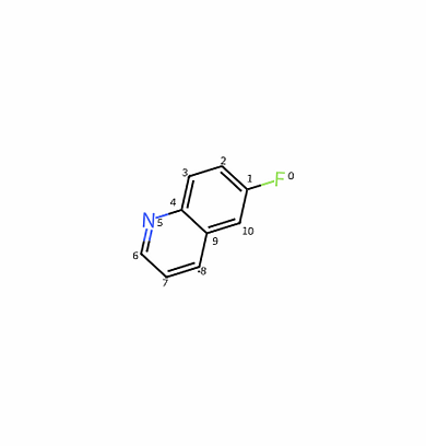 Fc1ccc2ncc[c]c2c1